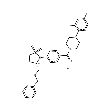 Cc1cnc(N2CCN(C(=O)c3ccc(N4[C@H](COCc5ccccc5)CCS4(=O)=O)cc3)CC2)c(C)c1.Cl